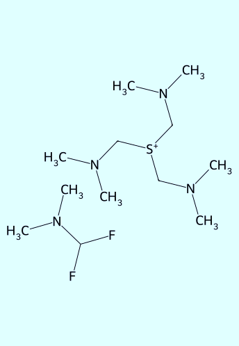 CN(C)C(F)F.CN(C)C[S+](CN(C)C)CN(C)C